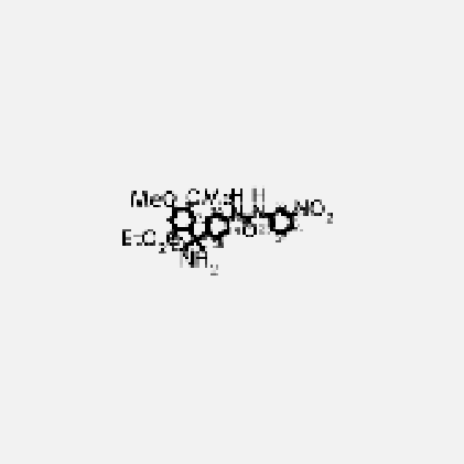 CCOC(=O)c1cc(OC)c(OC)cc1C(C)(C(N)=O)c1ccc(NC(=O)Nc2cccc([N+](=O)[O-])c2)cc1